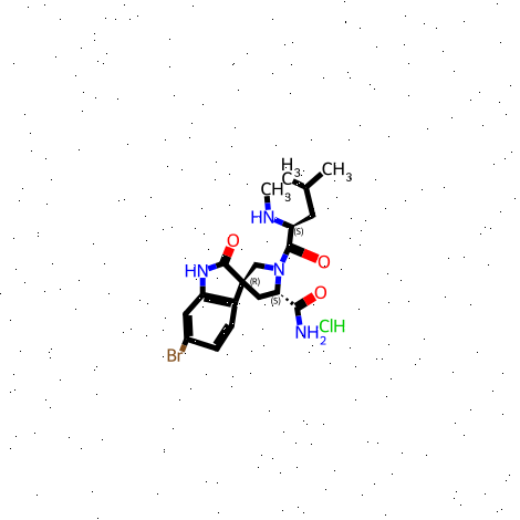 CN[C@@H](CC(C)C)C(=O)N1C[C@]2(C[C@H]1C(N)=O)C(=O)Nc1cc(Br)ccc12.Cl